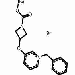 CC(C)(C)OC(=O)N1CC(Oc2ccc[n+](Cc3ccccc3)c2)C1.[Br-]